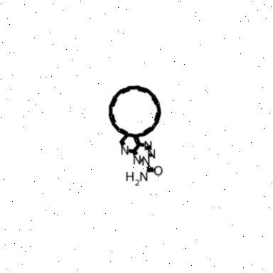 NC(=O)n1nnc2c(ncc3cccccccccccccccc32)n1